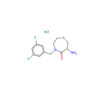 Cl.NC1CSCCN(Cc2cc(F)cc(F)c2)C1=O